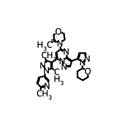 Cc1ccc(-n2nc(C)c(-c3cc(N4CCOC[C@H]4C)nc4c(-c5ccnn5C5CCCCO5)cnn34)c2C)cn1